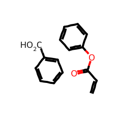 C=CC(=O)Oc1ccccc1.O=C(O)c1ccccc1